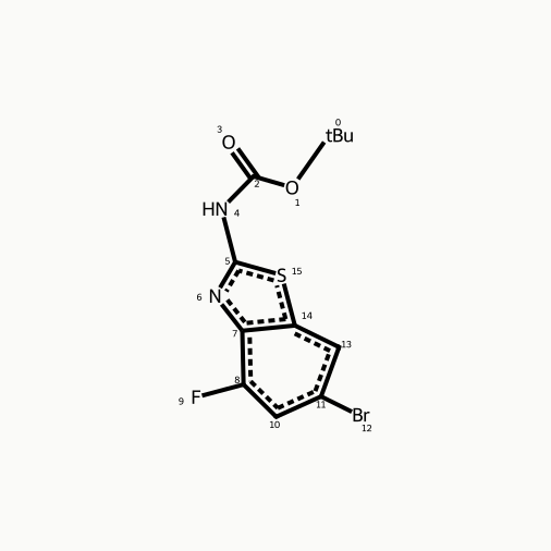 CC(C)(C)OC(=O)Nc1nc2c(F)cc(Br)cc2s1